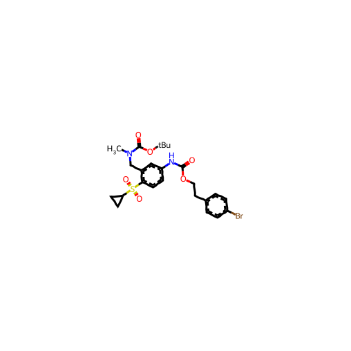 CN(Cc1cc(NC(=O)OCCc2ccc(Br)cc2)ccc1S(=O)(=O)C1CC1)C(=O)OC(C)(C)C